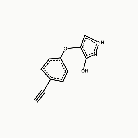 C#Cc1ccc(Oc2c[nH]nc2O)cc1